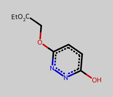 CCOC(=O)COc1ccc(O)nn1